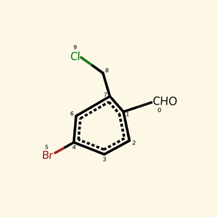 O=Cc1ccc(Br)cc1CCl